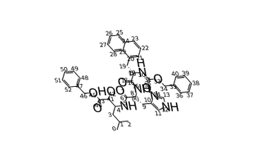 CC(C)CC(NC(=O)[C@@H](Cc1c[nH]cn1)NC(=O)[C@H](Cc1cccc2ccccc12)NC(=O)OCc1ccccc1)C(O)C(=O)OCc1ccccc1